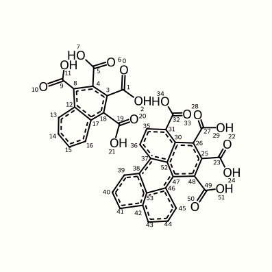 O=C(O)c1c(C(=O)O)c(C(=O)O)c2ccccc2c1C(=O)O.O=C(O)c1c(C(=O)O)c2c(C(=O)O)ccc3c4cccc5cccc(c(c1C(=O)O)c23)c54